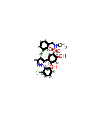 CN(Cc1cccc(F)c1)S(=O)(=O)c1cc(-c2ccnn2-c2ccccc2Cl)c(O)cc1O